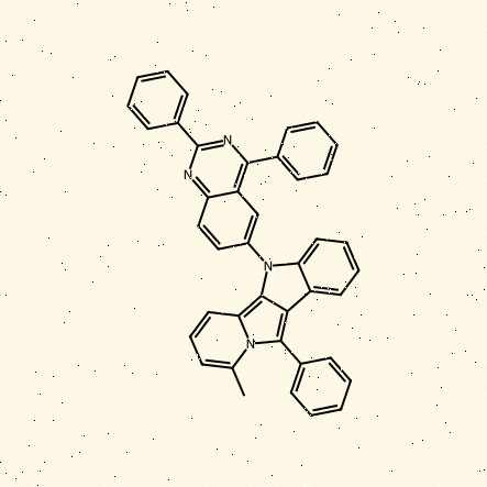 Cc1cccc2c3c(c(-c4ccccc4)n12)c1ccccc1n3-c1ccc2nc(-c3ccccc3)nc(-c3ccccc3)c2c1